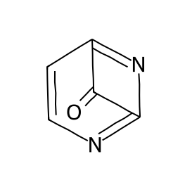 O=C1c2ccnc1n2